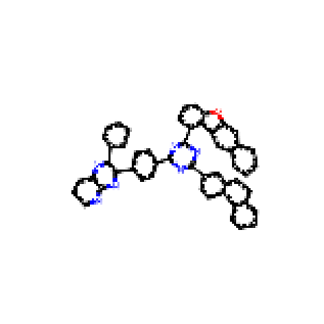 c1ccc(-c2nc3cccnc3nc2-c2ccc(-c3nc(-c4ccc5c(ccc6ccccc65)c4)nc(-c4cccc5oc6cc7ccccc7cc6c45)n3)cc2)cc1